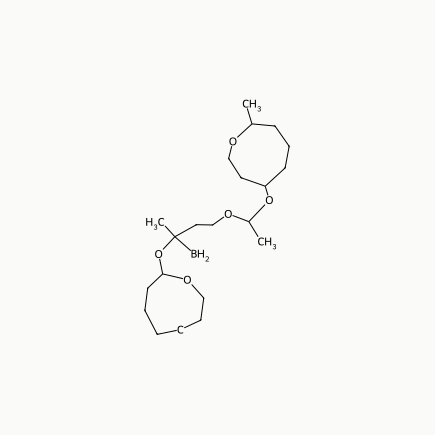 BC(C)(CCOC(C)OC1CCCC(C)OCC1)OC1CCCCCCO1